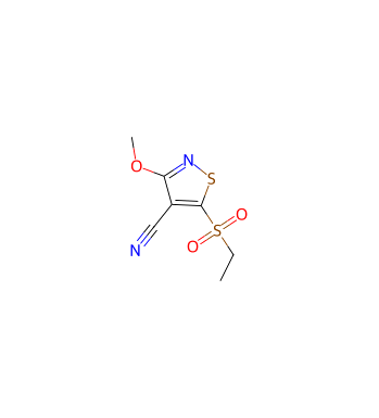 CCS(=O)(=O)c1snc(OC)c1C#N